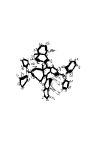 CC12CC(N(c3ccccc3)c3ccccc3)=CC=C1C(c1ccc3ccccc3c1)=c1cc(N(c3ccccc3)c3ccccc3)ccc1=C2C1=CC2C=CC=CC2(C)C=C1